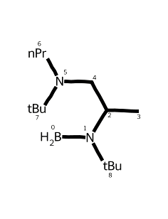 BN(C(C)CN(CCC)C(C)(C)C)C(C)(C)C